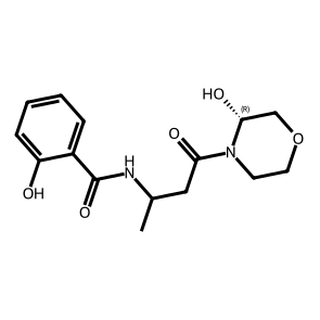 CC(CC(=O)N1CCOC[C@H]1O)NC(=O)c1ccccc1O